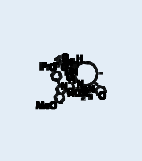 COc1ccc2c(O[C@@H]3C[C@H]4C(=O)N[C@]5(C(=O)NS(=O)(=O)C6(CF)CC6)C[C@H]5/C=C\CC[C@@H](C)C[C@@H](C)[C@H](N(C(=O)O)C5CCCOC5)C(=O)N4[C@@H]3C(F)(F)F)nc(-c3ccc(OC(C)C)cc3)cc2c1